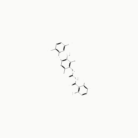 Cc1cc(Oc2cc(Cl)ccc2Cl)c(Cl)c(C)c1NC(=O)NC(=O)c1c(F)cccc1F